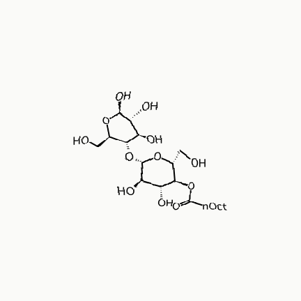 CCCCCCCCC(=O)O[C@H]1[C@H](O)[C@@H](O)[C@H](O[C@H]2[C@H](O)[C@@H](O)[C@H](O)O[C@@H]2CO)O[C@@H]1CO